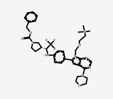 C[Si](C)(C)CCOCn1c(-c2ccc(NC([C@@H]3CCN(C(=O)OCc4ccccc4)C3)C(F)(F)F)cc2)cc2c(N3CCOCC3)ncnc21